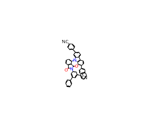 N#Cc1ccc(-c2ccc3c4ccc(-c5ccc(C#N)cc5)cc4n(-c4cccc5c4C(=O)N(c4cc(-c6ccccc6)cc(-c6ccccc6)c4)C5=O)c3c2)cc1